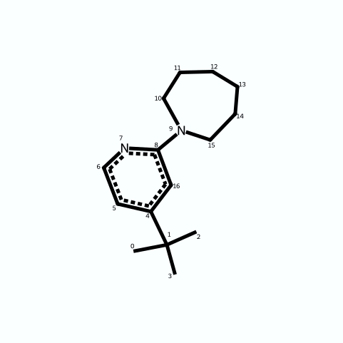 CC(C)(C)c1ccnc(N2CCCCCC2)c1